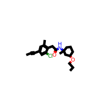 CC#Cc1cc(C)c(CC(=O)NC2(C)CCCC(OCCC)C2)c(Cl)c1